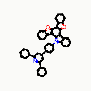 c1ccc(-c2cc(-c3ccc(-n4c5ccccc5c5c6oc7ccccc7c6c6oc7ccccc7c6c54)cc3)cc(-c3ccccc3)n2)cc1